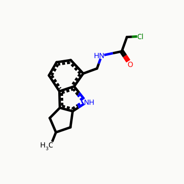 CC1Cc2[nH]c3c(CNC(=O)CCl)cccc3c2C1